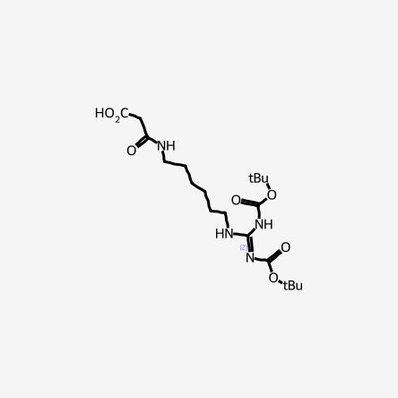 CC(C)(C)OC(=O)/N=C(/NCCCCCCNC(=O)CC(=O)O)NC(=O)OC(C)(C)C